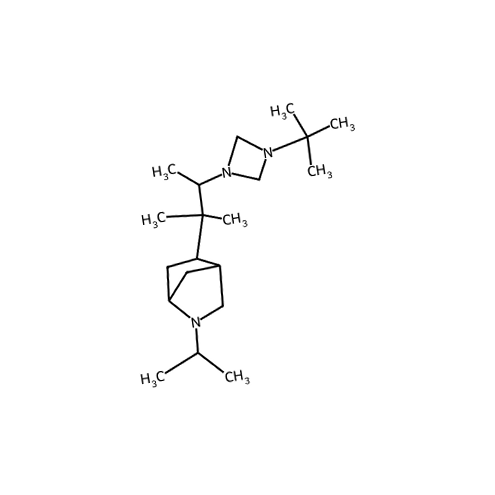 CC(C)N1CC2CC1CC2C(C)(C)C(C)N1CN(C(C)(C)C)C1